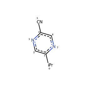 CC(C)c1cnc(C#N)cn1